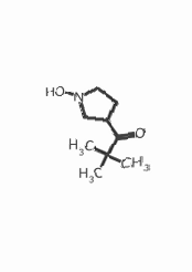 CC(C)(C)C(=O)C1CCN(O)C1